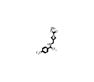 CC(C)(C)OC(=O)N1CC(CNC(c2ccc(C(F)(F)F)cc2)C(F)(F)F)C1